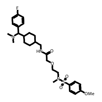 COc1ccc(S(=O)(=O)N(C)CCOCC(=O)NCC2CCC(C(c3ccc(F)cc3)N(C)C)CC2)cc1